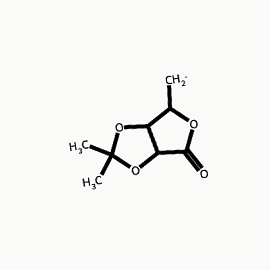 [CH2]C1OC(=O)C2OC(C)(C)OC12